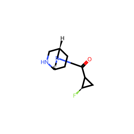 O=C(C1C[C@H]1F)N1CC2CC[C@@H](CN2)C1